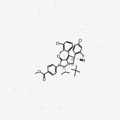 COC(=O)c1ccc(N2C(=O)C3=C(c4cccc(Cl)c4F)[C@@](C#N)(c4ccc(Cl)cc4F)[C@H](CC(C)(C)C)N3[C@@H]2C(C)C)cc1